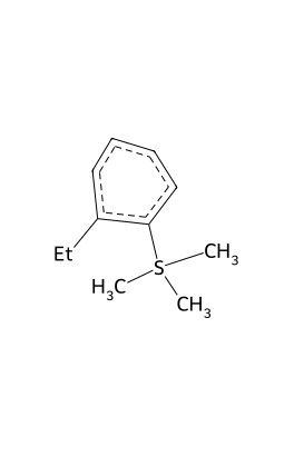 CCc1ccccc1S(C)(C)C